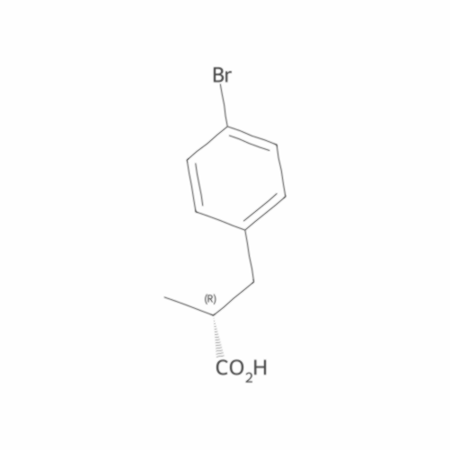 C[C@H](Cc1ccc(Br)cc1)C(=O)O